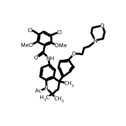 COc1c(Cl)cc(Cl)c(OC)c1C(=O)Nc1ccc2c(c1)C(C)(c1ccc(OCCCN3CCOCC3)cc1)CC(C)(C)N2C(C)=O